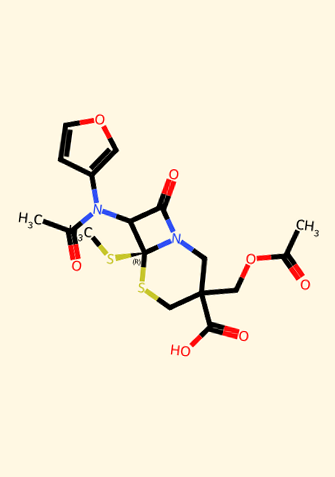 CS[C@]12SCC(COC(C)=O)(C(=O)O)CN1C(=O)C2N(C(C)=O)c1ccoc1